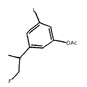 C[C](CF)c1cc(I)cc(OC(C)=O)c1